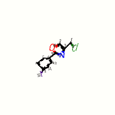 ClCc1coc(-c2ccc(I)cc2)n1